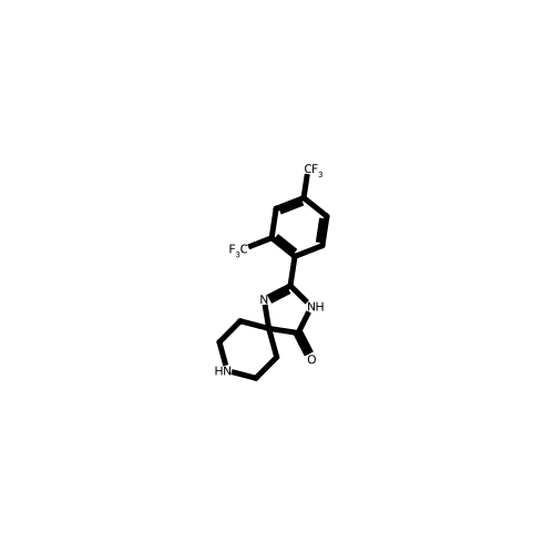 O=C1NC(c2ccc(C(F)(F)F)cc2C(F)(F)F)=NC12CCNCC2